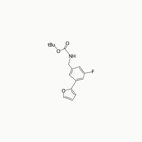 CC(C)(C)OC(=O)NCc1cc(F)cc(-c2ccco2)c1